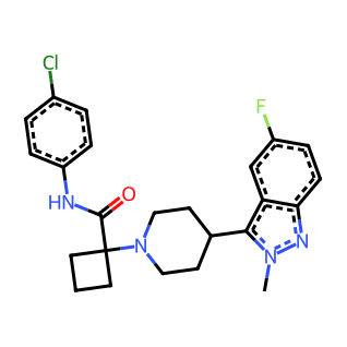 Cn1nc2ccc(F)cc2c1C1CCN(C2(C(=O)Nc3ccc(Cl)cc3)CCC2)CC1